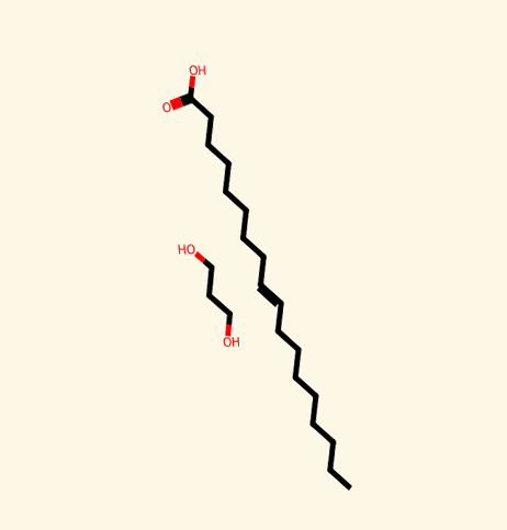 CCCCCCCCC=CCCCCCCCC(=O)O.OCCCO